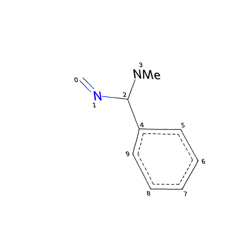 C=NC(NC)c1ccccc1